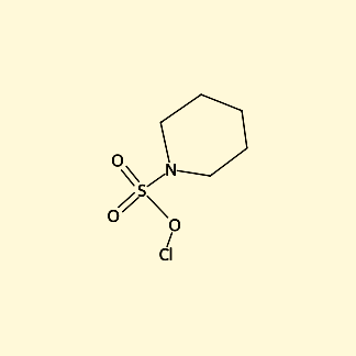 O=S(=O)(OCl)N1CCCCC1